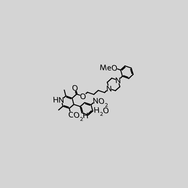 COc1ccccc1N1CCN(CCCCOC(=O)C2=C(C)NC(C)=C(C(=O)O)C2c2cccc([N+](=O)[O-])c2)CC1.O